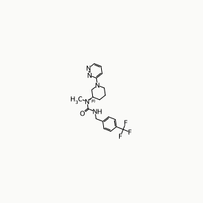 CN(C(=O)NCc1ccc(C(F)(F)F)cc1)[C@@H]1CCCN(c2cccnn2)C1